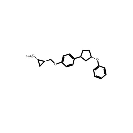 O=C(O)[C@H]1C[C@@H]1COc1ccc(C2CC[C@H](Oc3ccccc3)C2)cc1